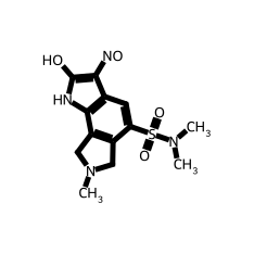 CN1Cc2c(S(=O)(=O)N(C)C)cc3c(N=O)c(O)[nH]c3c2C1